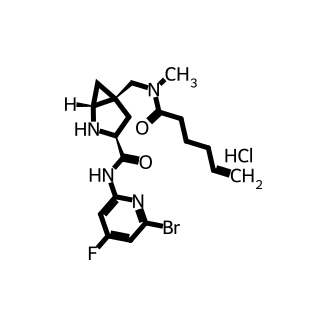 C=CCCCC(=O)N(C)C[C@@]12C[C@@H](C(=O)Nc3cc(F)cc(Br)n3)N[C@@H]1C2.Cl